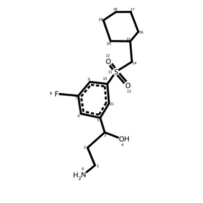 NCCC(O)c1cc(F)cc(S(=O)(=O)CC2CCCCC2)c1